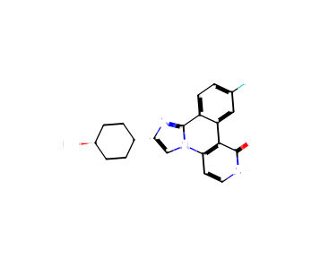 O=c1[nH]ccc2c1c1cc(F)ccc1c1nc([C@H]3CC[C@H](O)CC3)cn21